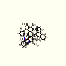 Bc1c(B)c(B)c2c(-c3cc4ccccc4c4ccccc34)c3c(B)c(B)c(B)c(B)c3c(-c3ccccc3-n3c(C(B)(B)B)nc4ccccc43)c2c1B